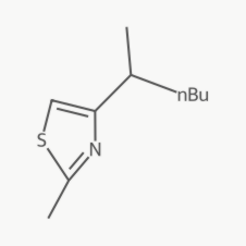 CCCCC(C)c1csc(C)n1